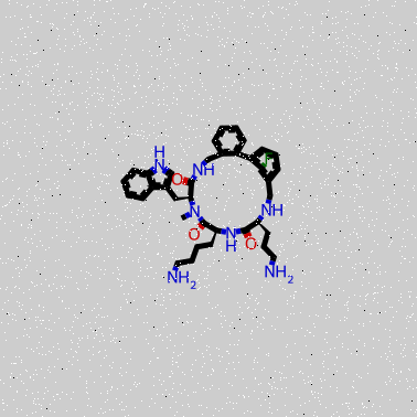 CN1C(=O)[C@H](CCCCN)NC(=O)[C@H](CCCN)NCc2cccc(c2F)-c2ccccc2CNC(=O)[C@@H]1Cc1c[nH]c2ccccc12